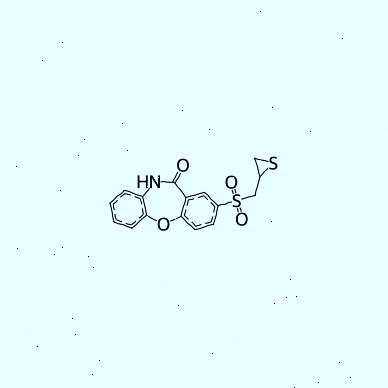 O=C1Nc2ccccc2Oc2ccc(S(=O)(=O)CC3CS3)cc21